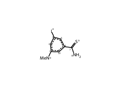 CNc1cc(I)cc(C(N)=S)c1